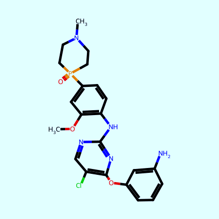 COc1cc(P2(=O)CCN(C)CC2)ccc1Nc1ncc(Cl)c(Oc2cccc(N)c2)n1